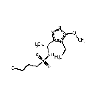 CCn1c(OC)nnc1[C@@H](C)NS(=O)(=O)CCCCl